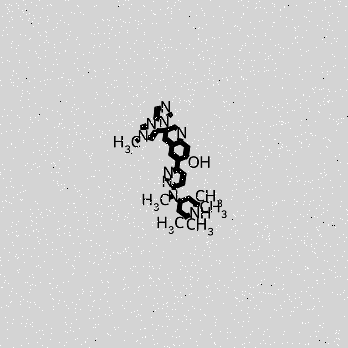 CN(c1ccc(-c2cc3c(cc2O)=NCC(c2cn(C)cn2)(n2ccnc2)C=3)nn1)C1CC(C)(C)NC(C)(C)C1